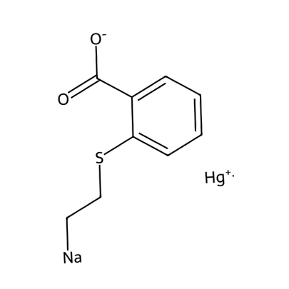 O=C([O-])c1ccccc1SC[CH2][Na].[Hg+]